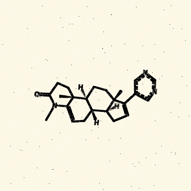 CN1C(=O)CC[C@@]2(C)C1=CC[C@@H]1[C@@H]2CC[C@]2(C)C(c3cncnc3)=CC[C@@H]12